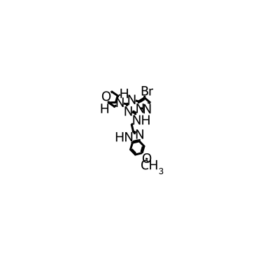 COc1ccc2[nH]c(CNc3nc(N4C[C@H]5C[C@@H]4CO5)nc4c(Br)cnn34)nc2c1